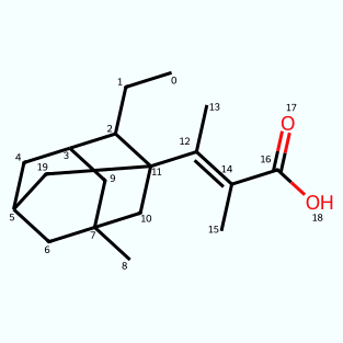 CCC1C2CC3CC(C)(C2)CC1(C(C)=C(C)C(=O)O)C3